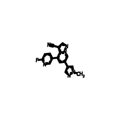 Cn1cc(-c2cc(-c3ccc(F)nc3)c3c(C#N)cnn3c2)cn1